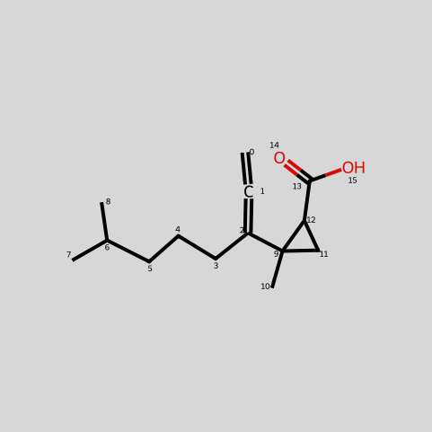 C=C=C(CCCC(C)C)C1(C)CC1C(=O)O